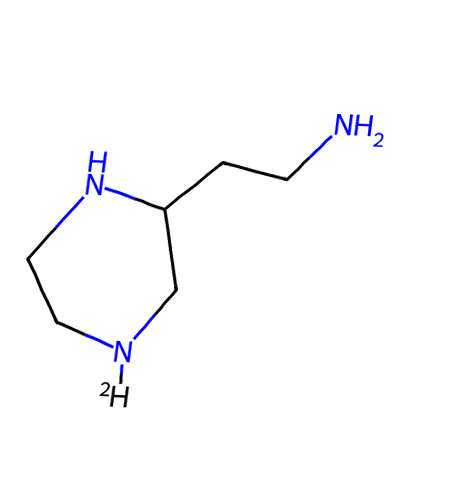 [2H]N1CCNC(CCN)C1